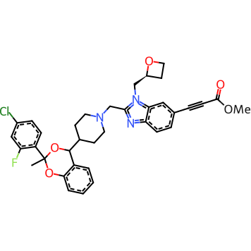 COC(=O)C#Cc1ccc2nc(CN3CCC(C4OC(C)(c5ccc(Cl)cc5F)Oc5ccccc54)CC3)n(C[C@@H]3CCO3)c2c1